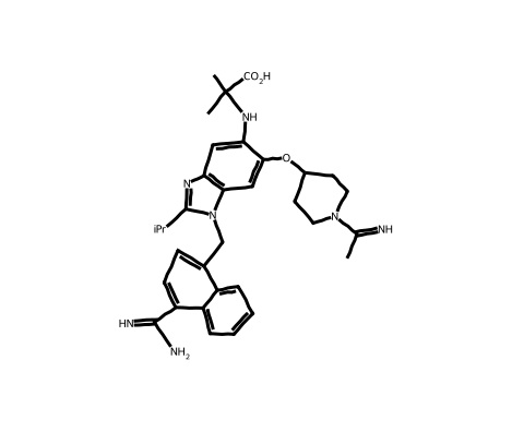 CC(=N)N1CCC(Oc2cc3c(cc2NC(C)(C)C(=O)O)nc(C(C)C)n3Cc2ccc(C(=N)N)c3ccccc23)CC1